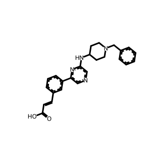 O=C(O)/C=C/c1cccc(-c2cncc(NC3CCN(Cc4ccccc4)CC3)n2)c1